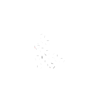 c1cccc(-n2c3ccccc3c3cccc(-c4c5ccc#cc5c(-c5cccc6sc7ccc(-c8c9ccccc9c(-c9cccc%10c%11ccccc%11n(-c%11ccccc%11)c9%10)c9ccccc89)cc7c56)c5ccccc45)c32)c#1